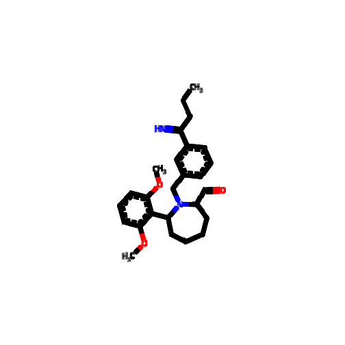 CCCC(=N)c1cccc(CN2C(C=O)CCCCC2c2c(OC)cccc2OC)c1